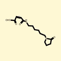 O=CC(=O)/C=C\C(=O)NCCCCCCN1CCCC1=O